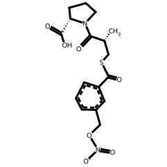 C[C@H](CSC(=O)c1cccc(CO[N+](=O)[O-])c1)C(=O)N1CCC[C@H]1C(=O)O